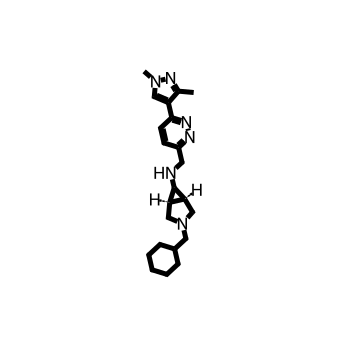 Cc1nn(C)cc1-c1ccc(CNC2[C@H]3CN(CC4CCCCC4)C[C@@H]23)nn1